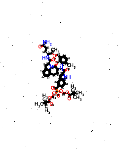 Cc1ccc(CO[C@H](C)[C@H](CCC(N)=O)NC(=O)[C@@H]2Cc3cccc4c3N2C(=O)[C@@H](NC(=O)c2cc3cc(C(=O)P(=O)(OCOC(=O)C(C)(C)C)OCOC(=O)C(C)(C)C)ccc3[nH]2)CC4)cc1